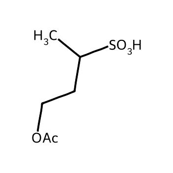 CC(=O)OCCC(C)S(=O)(=O)O